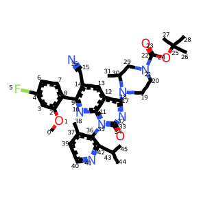 COc1cc(F)ccc1-c1nc2c(cc1C#N)c(N1CCN(C(=O)OC(C)(C)C)CC1C)nc(=O)n2-c1c(C)ccnc1C(C)C